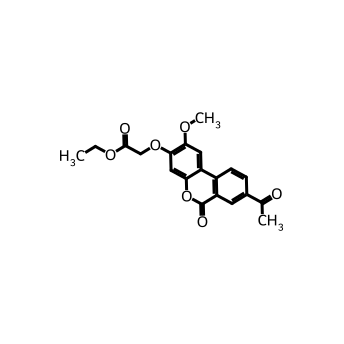 CCOC(=O)COc1cc2oc(=O)c3cc(C(C)=O)ccc3c2cc1OC